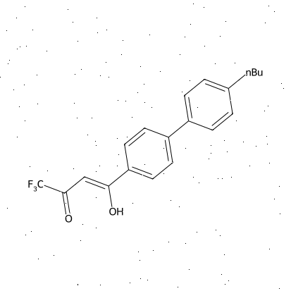 CCCCc1ccc(-c2ccc(C(O)=CC(=O)C(F)(F)F)cc2)cc1